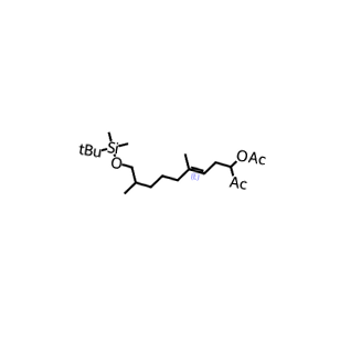 CC(=O)OC(C/C=C(\C)CCCC(C)CO[Si](C)(C)C(C)(C)C)C(C)=O